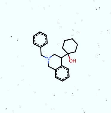 OC1(C2CN(Cc3ccccc3)Cc3ccccc32)CCCCC1